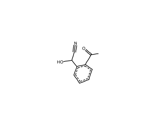 CC(=O)c1ccccc1C(O)C#N